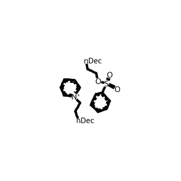 CCCCCCCCCCCCOS(=O)(=O)c1ccccc1.CCCCCCCCCCCC[n+]1ccccc1